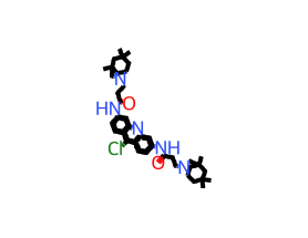 CC1(C)CC2CC(C)(CN2CCC(=O)Nc2ccc3c(Cl)c4ccc(NC(=O)CCN5CC6(C)CC5CC(C)(C)C6)cc4nc3c2)C1